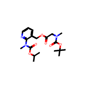 CC(C)OC(=O)N(C)c1ncccc1COC(=O)CN(C)C(=O)OC(C)(C)C